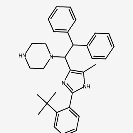 Cc1[nH]c(-c2ccccc2C(C)(C)C)nc1C(C(c1ccccc1)c1ccccc1)N1CCNCC1